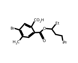 CCC(CCC(C)C)OC(=O)c1cc(C)c(Br)cc1C(=O)O